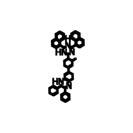 CC1C=C(C2=CC3=C(CC2)N=C(c2ccccc2)C(C2=CCCC=C2)N3)CCC1C1N=C(c2cccc3ccccc23)NC(c2cccc3ccccc23)N1